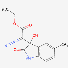 CCOC(=O)C(=[N+]=[N-])C1(O)C(=O)Nc2ccc(C)cc21